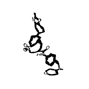 Cc1nc2cc(-c3ccc4c(c3)C=C(C(=O)Nc3ccc(CN(C)C5CCOCC5)cc3)CCS4(=O)=O)ccc2o1